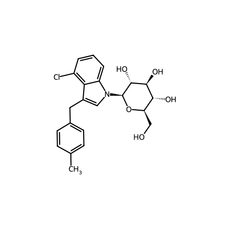 Cc1ccc(Cc2cn([C@@H]3O[C@H](CO)[C@@H](O)[C@H](O)[C@H]3O)c3cccc(Cl)c23)cc1